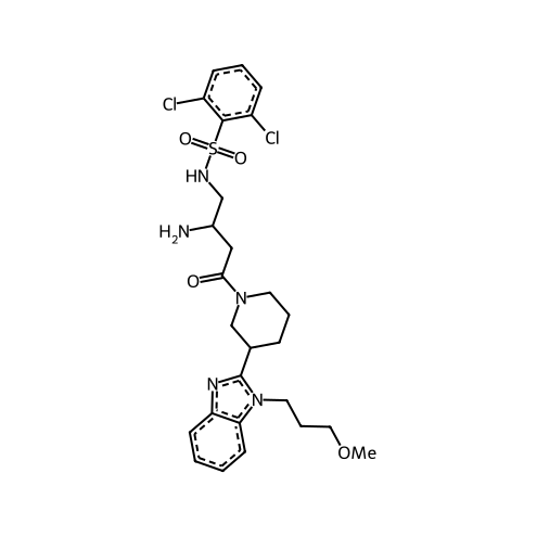 COCCCn1c(C2CCCN(C(=O)CC(N)CNS(=O)(=O)c3c(Cl)cccc3Cl)C2)nc2ccccc21